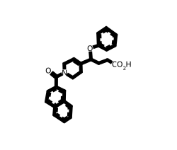 O=C(O)CCC(Oc1ccccc1)C1=CCN(C(=O)c2ccc3ccccc3c2)CC1